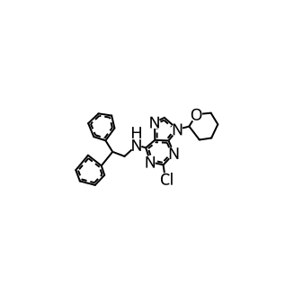 Clc1nc(NCC(c2ccccc2)c2ccccc2)c2ncn(C3CCCCO3)c2n1